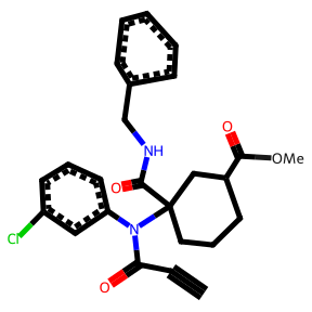 C#CC(=O)N(c1cccc(Cl)c1)C1(C(=O)NCc2ccccc2)CCCC(C(=O)OC)C1